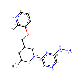 CC1CC(COc2cccnc2C(F)(F)F)CN(c2cncc(NN)n2)C1